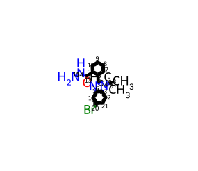 CC(C)(C)n1c(-c2ccccc2C(=O)NN)nc2cc(Br)ccc21